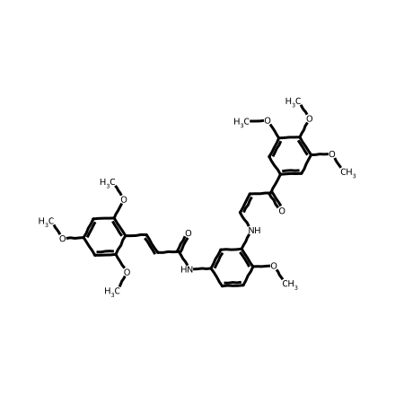 COc1cc(OC)c(/C=C/C(=O)Nc2ccc(OC)c(N/C=C\C(=O)c3cc(OC)c(OC)c(OC)c3)c2)c(OC)c1